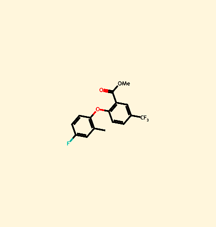 COC(=O)c1cc(C(F)(F)F)ccc1Oc1ccc(F)cc1C